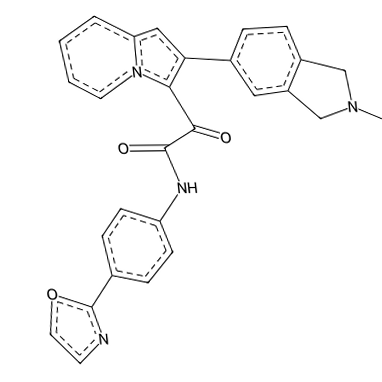 CN1Cc2ccc(-c3cc4ccccn4c3C(=O)C(=O)Nc3ccc(-c4ncco4)cc3)cc2C1